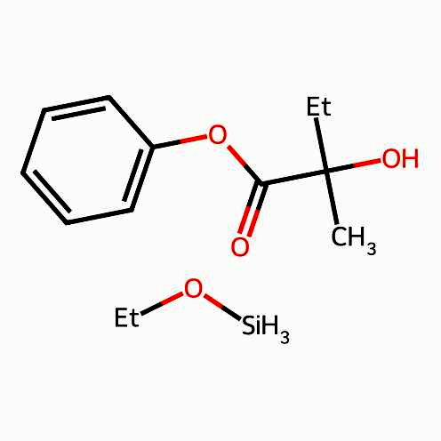 CCC(C)(O)C(=O)Oc1ccccc1.CCO[SiH3]